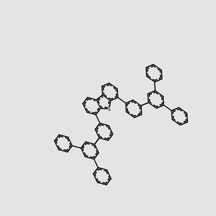 c1ccc(-c2cc(-c3ccccc3)cc(-c3cccc(-c4cccc5c4sc4c(-c6cccc(-c7cc(-c8ccccc8)cc(-c8ccccc8)c7)c6)cccc45)c3)c2)cc1